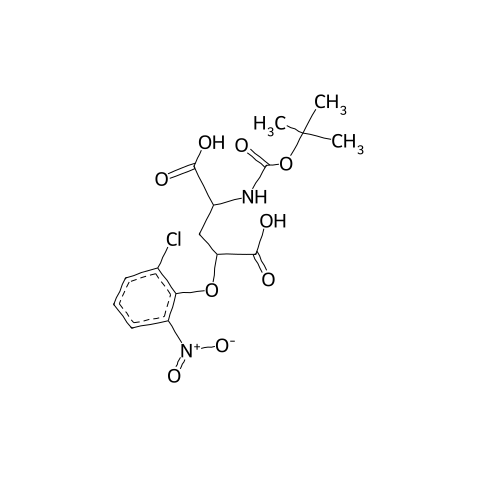 CC(C)(C)OC(=O)NC(CC(Oc1c(Cl)cccc1[N+](=O)[O-])C(=O)O)C(=O)O